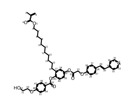 C=C(C)C(=O)OCCCCCCCCCCCc1cc(OC(=O)COc2ccc(C=Cc3ccncc3)cc2)ccc1OC(=O)c1ccc(OCCO)cc1